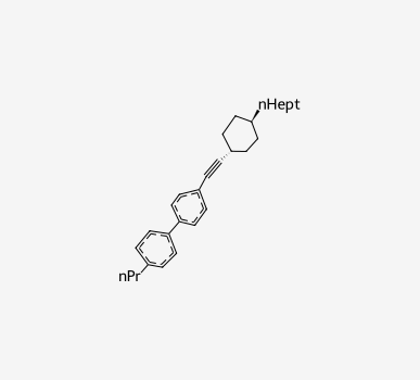 CCCCCCC[C@H]1CC[C@H](C#Cc2ccc(-c3ccc(CCC)cc3)cc2)CC1